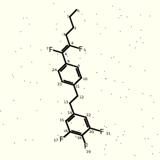 CCCCC(F)=C(F)c1ccc(CCc2cc(F)c(F)c(F)c2)cc1